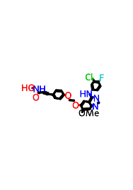 COc1cc2ncnc(Nc3ccc(F)c(Cl)c3)c2cc1OCCOc1ccc(C#CC(=O)NO)cc1